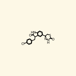 O=C1NN=C(c2ccc3c(c2)C(Cc2ccc(Cl)cc2)C(=O)N3)CS1